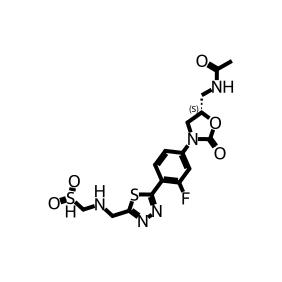 CC(=O)NC[C@H]1CN(c2ccc(-c3nnc(CNC[SH](=O)=O)s3)c(F)c2)C(=O)O1